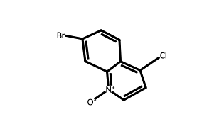 [O-][n+]1ccc(Cl)c2ccc(Br)cc21